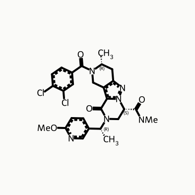 CNC(=O)[C@@H]1CN([C@H](C)c2ccc(OC)nc2)C(=O)c2c3c(nn21)C[C@@H](C)N(C(=O)c1ccc(Cl)c(Cl)c1)C3